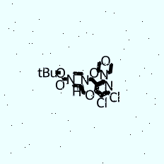 CC(C)(C)OC(=O)N1CCN2C(=O)c3c(N4CCOCC4)nc(Cl)c(Cl)c3OC[C@H]2C1